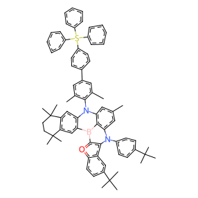 Cc1cc2c3c(c1)N(c1ccc(C(C)(C)C)cc1)c1c(oc4ccc(C(C)(C)C)cc14)B3c1cc3c(cc1N2c1c(C)cc(-c2ccc(S(c4ccccc4)(c4ccccc4)c4ccccc4)cc2)cc1C)C(C)(C)CCC3(C)C